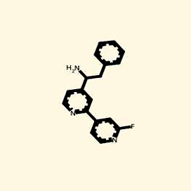 NC(Cc1ccccc1)c1ccnc(-c2ccnc(F)c2)c1